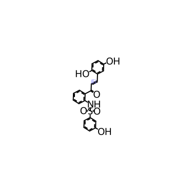 O=C(/C=C/c1cc(O)ccc1O)c1ccccc1NS(=O)(=O)c1cccc(O)c1